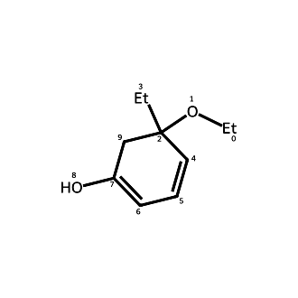 CCOC1(CC)C=CC=C(O)C1